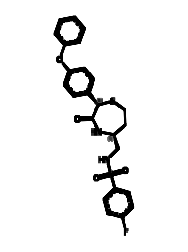 O=C1N[C@H](CNS(=O)(=O)c2ccc(F)cc2)CCS[C@@H]1c1ccc(Oc2ccccc2)cc1